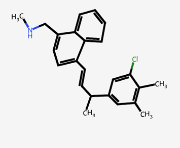 CNCc1ccc(/C=C/C(C)c2cc(C)c(C)c(Cl)c2)c2ccccc12